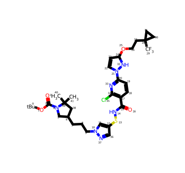 CC(C)(C)OC(=O)N1CC(CCCn2cc(SNC(=O)c3ccc(N4C=CC(OCCC5(C(F)(F)F)CC5)N4)nc3Cl)cn2)CC1(C)C